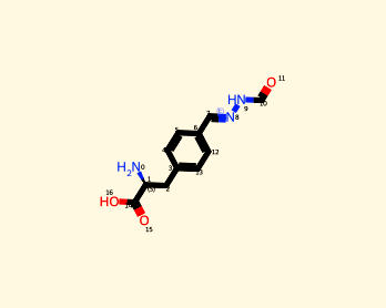 N[C@@H](Cc1ccc(/C=N/NC=O)cc1)C(=O)O